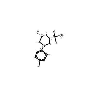 Cc1ccc(N2C[C@@H](C(C)(C)O)O[C@@H](C)C2)cc1